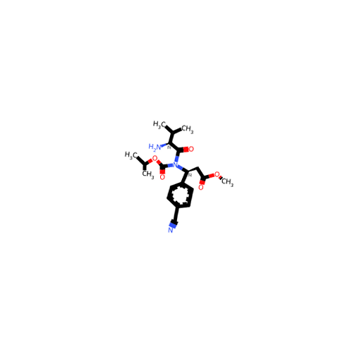 COC(=O)C[C@@H](c1ccc(C#N)cc1)N(C(=O)OC(C)C)C(=O)[C@@H](N)C(C)C